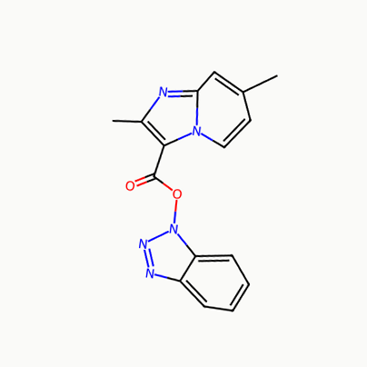 Cc1ccn2c(C(=O)On3nnc4ccccc43)c(C)nc2c1